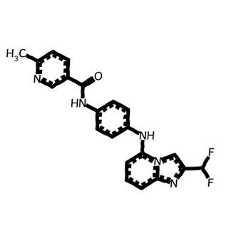 Cc1ccc(C(=O)Nc2ccc(Nc3cccc4nc(C(F)F)cn34)cc2)cn1